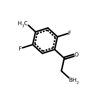 BCC(=O)c1cc(F)c(C)cc1F